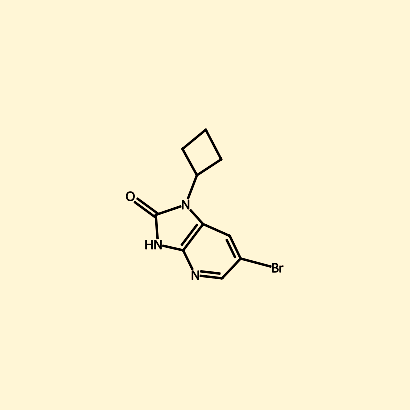 O=c1[nH]c2ncc(Br)cc2n1C1CCC1